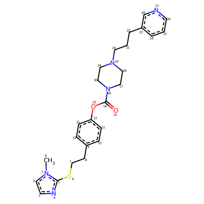 Cn1ccnc1SCCc1ccc(OC(=O)N2CCN(CCCc3cccnc3)CC2)cc1